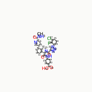 CNC(=O)c1ccc(-c2cccc3c2CCN(C(=O)c2cn(-c4cccc(Cl)c4F)nn2)[C@H]3C(=O)Nc2ccc(C(=O)O)cc2)cn1